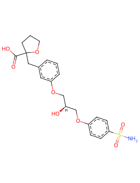 NS(=O)(=O)c1ccc(OC[C@@H](O)COc2cccc(CC3(C(=O)O)CCCO3)c2)cc1